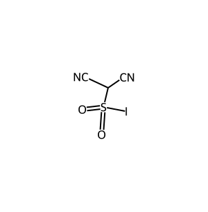 N#CC(C#N)S(=O)(=O)I